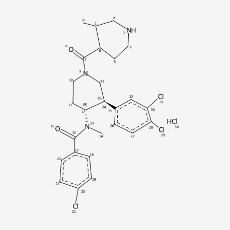 CC1CNCCC1C(=O)N1CC[C@@H](N(C)C(=O)c2ccc(Cl)cc2)[C@H](c2ccc(Cl)c(Cl)c2)C1.Cl